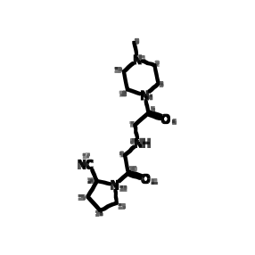 CN1CCN(C(=O)CNCC(=O)N2CCCC2C#N)CC1